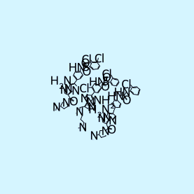 CN(C)C1CCN(C(=O)c2cnn3c(N)c(-c4ccc(NS(=O)(=O)c5cccc(Cl)c5Cl)cc4)cnc23)C1.CN(C)CCCN(C)Cc1cnn2c(N)c(-c3ccc(NS(=O)(=O)c4ccccc4Cl)cc3Cl)cnc12.Cc1cc(NC(=O)Nc2ccccc2Cl)ccc1-c1cnc2c(C(=O)N3CCC(N(C)C)C3)cnn2c1N